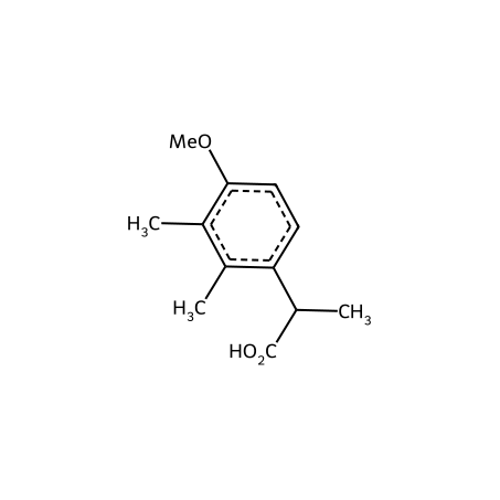 COc1ccc(C(C)C(=O)O)c(C)c1C